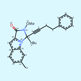 CCCCC1(C#CCCc2ccccc2)N(OC)C(=O)c2cc3ccc(C)cc3n21